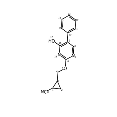 N#CC1CC1COc1ncc(-c2ccccc2)c(O)n1